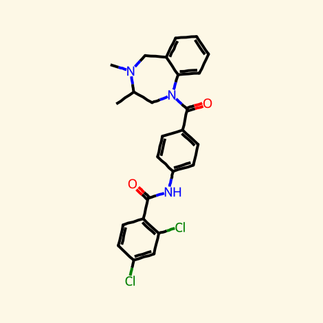 CC1CN(C(=O)c2ccc(NC(=O)c3ccc(Cl)cc3Cl)cc2)c2ccccc2CN1C